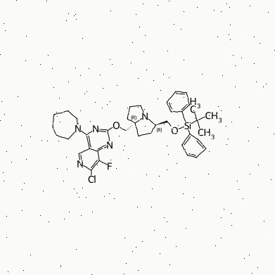 CC(C)(C)[Si](OC[C@H]1CC[C@@]2(COc3nc(N4CCCCCC4)c4cnc(Cl)c(F)c4n3)CCCN12)(c1ccccc1)c1ccccc1